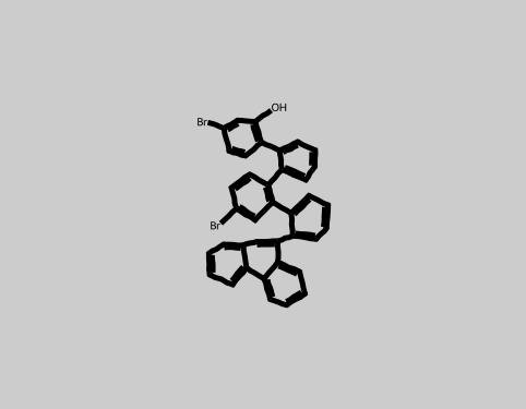 Oc1cc(Br)ccc1-c1ccccc1-c1ccc(Br)cc1-c1ccccc1-c1cc2ccccc2c2ccccc12